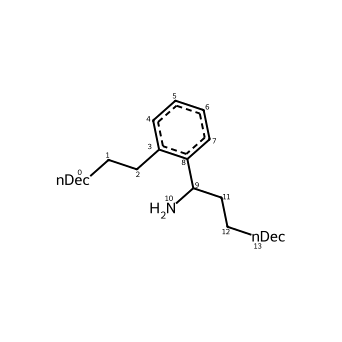 CCCCCCCCCCCCc1ccccc1C(N)CCCCCCCCCCCC